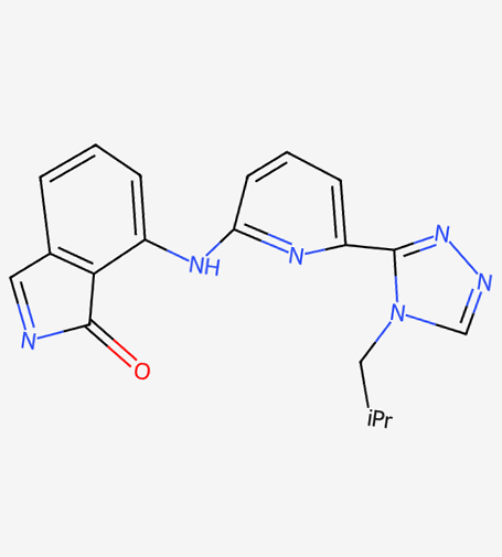 CC(C)Cn1cnnc1-c1cccc(Nc2cccc3c2C(=O)N=C3)n1